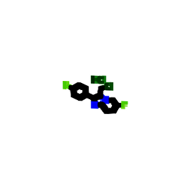 Cl.Fc1ccc(-c2nc3ccc(F)cn3c2CCl)cc1